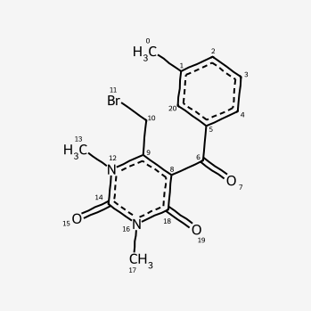 Cc1cccc(C(=O)c2c(CBr)n(C)c(=O)n(C)c2=O)c1